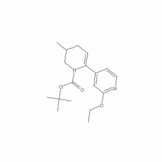 CCOc1cc(C2=CCC(C)CN2C(=O)OC(C)(C)C)ccn1